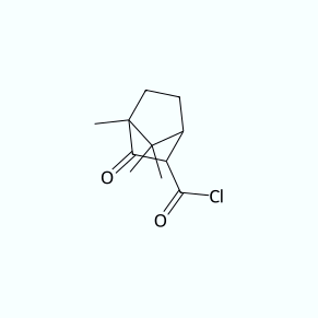 CC12CCC(C(C(=O)Cl)C1=O)C2(C)C